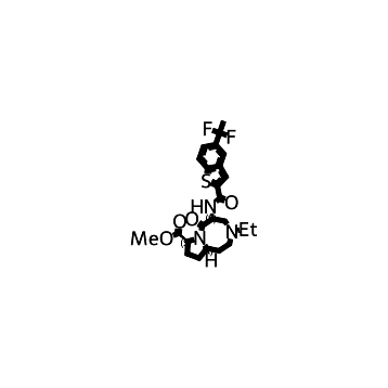 CCN1CC[C@H]2CC[C@@H](C(=O)OC)N2C(=O)[C@@H](NC(=O)c2cc3cc(C(C)(F)F)ccc3s2)C1